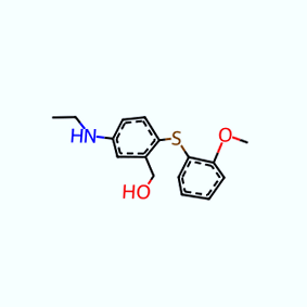 CCNc1ccc(Sc2ccccc2OC)c(CO)c1